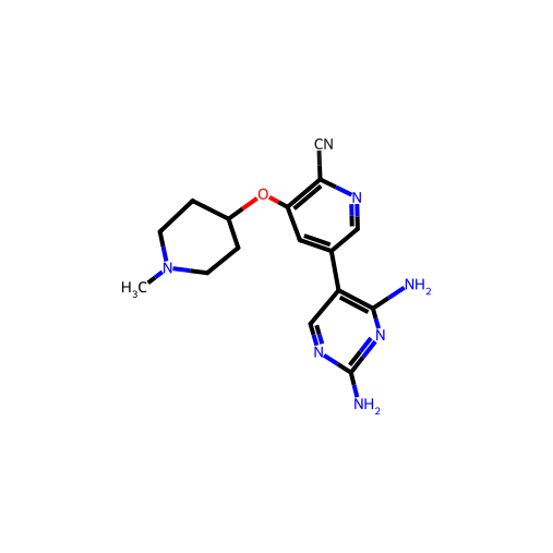 CN1CCC(Oc2cc(-c3cnc(N)nc3N)cnc2C#N)CC1